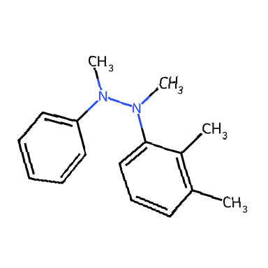 Cc1cccc(N(C)N(C)c2ccccc2)c1C